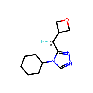 F[C@@H](c1nncn1C1CCCCC1)C1COC1